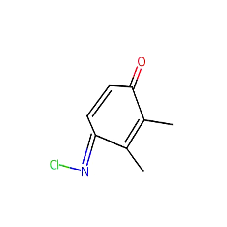 CC1=C(C)C(=NCl)C=CC1=O